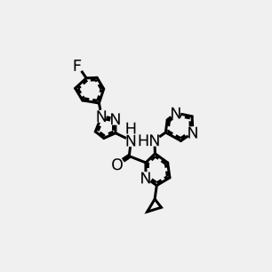 O=C(Nc1ccn(-c2ccc(F)cc2)n1)c1nc(C2CC2)ccc1Nc1cncnc1